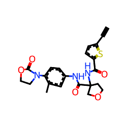 C#Cc1ccc(C(=O)NC2(C(=O)Nc3ccc(N4CCOC4=O)c(C)c3)CCOC2)s1